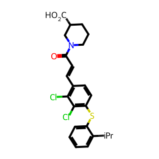 CC(C)c1ccccc1Sc1ccc(C=CC(=O)N2CCCC(C(=O)O)C2)c(Cl)c1Cl